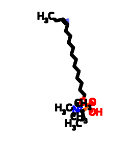 CC/C=C\CCCCCCCCCCCCOP(=O)(O)C(CC)[N+](C)(C)C